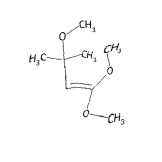 COC(=CC(C)(C)OC)OC